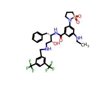 CCNc1cc(C(=O)N[C@@H](Cc2ccccc2)[C@H](O)CNCc2cc(C(F)(F)F)cc(C(F)(F)F)c2)cc(N2CCCS2(=O)=O)c1